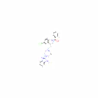 CN(CC(CCN1CCCN(c2nc3ccccc3n2CC(F)(F)F)CC1)c1cccc(Cl)c1)C(=O)c1ccccc1